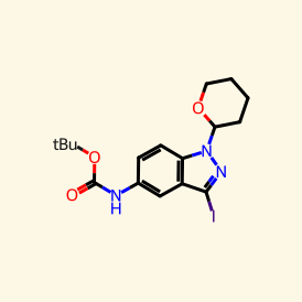 CC(C)(C)OC(=O)Nc1ccc2c(c1)c(I)nn2C1CCCCO1